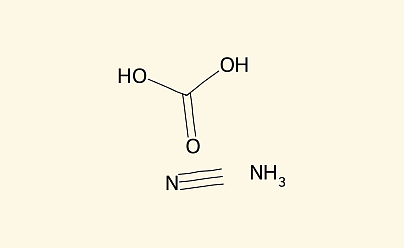 C#N.N.O=C(O)O